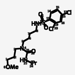 COC[CH]CN(CCCCNS(=O)(=O)c1ccc(Cl)cc1Cl)C(=O)NC(C)C